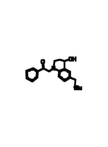 CC(C)(C)Cc1ccc2c(c1)C(O)CCN2CC(=O)c1ccccc1